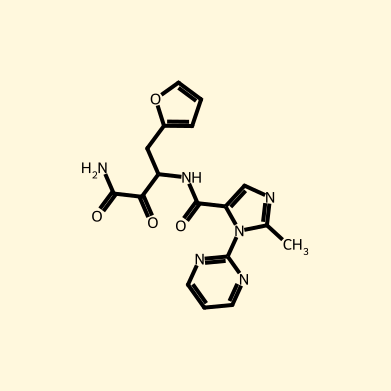 Cc1ncc(C(=O)NC(Cc2ccco2)C(=O)C(N)=O)n1-c1ncccn1